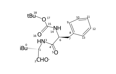 CCC(C)[C@@H]([C]=O)NC(=O)[C@H](Cc1ccccc1)NC(=O)OC(C)(C)C